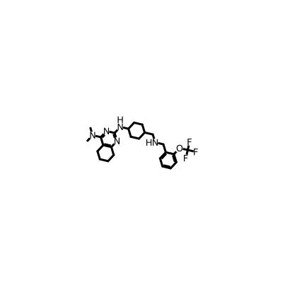 CN(C)c1nc(NC2CCC(CNCc3ccccc3OC(F)(F)F)CC2)nc2c1CCCC2